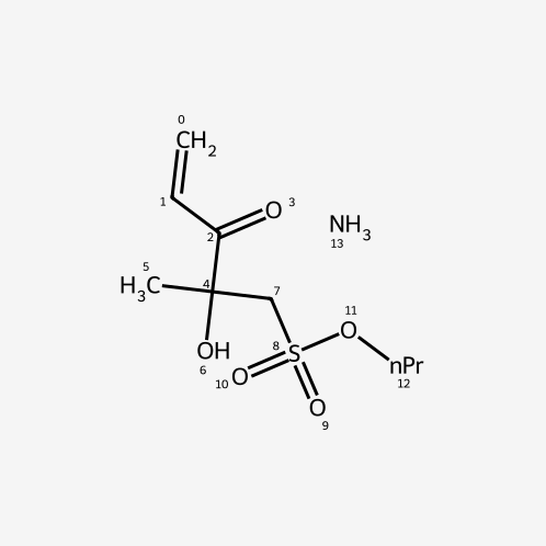 C=CC(=O)C(C)(O)CS(=O)(=O)OCCC.N